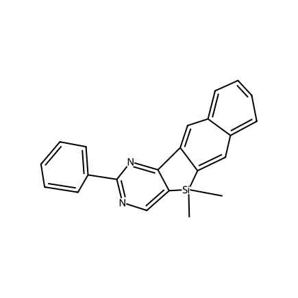 C[Si]1(C)c2cc3ccccc3cc2-c2nc(-c3ccccc3)ncc21